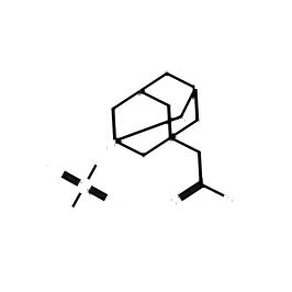 N=C(N)CC12CC3CC(CC(C3)C1)C2.O=S(=O)(O)O